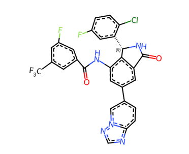 O=C(Nc1cc(-c2ccc3ncnn3c2)cc2c1[C@H](c1cc(F)ccc1Cl)NC2=O)c1cc(F)cc(C(F)(F)F)c1